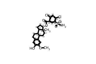 COc1cc2c(cc1O)CCC1C2CC[C@@]2(C)C1CC[C@@H]2OC(=O)c1cc(S(N)(=O)=O)c(Cl)cc1Cl